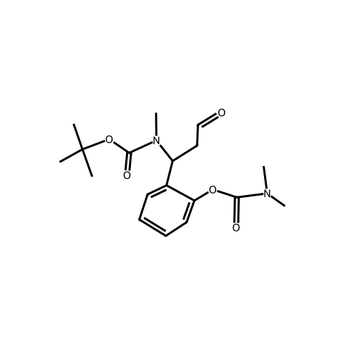 CN(C)C(=O)Oc1ccccc1C(CC=O)N(C)C(=O)OC(C)(C)C